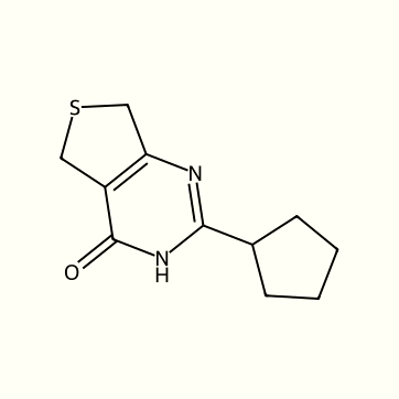 O=c1[nH]c(C2CCCC2)nc2c1CSC2